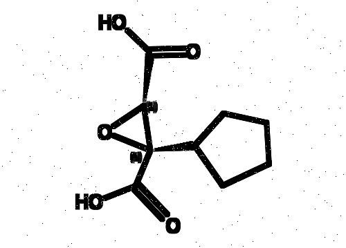 O=C(O)[C@H]1O[C@@]1(C(=O)O)C1CCCC1